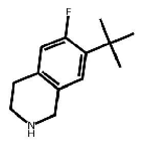 CC(C)(C)c1cc2c(cc1F)CCNC2